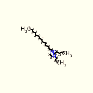 CCCCCCCCCCCCCC[n+]1ccn(CCC)c1CCCC